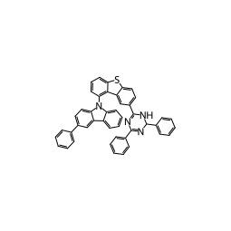 c1ccc(C2=NC(c3ccccc3)NC(c3ccc4sc5cccc(-n6c7ccccc7c7cc(-c8ccccc8)ccc76)c5c4c3)=N2)cc1